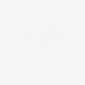 C=CCC(CC=C)[SiH2]OCC